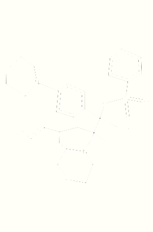 CCCC=CC(CCCCCCCC)CC(CC)(N1CCOCC1)C(C=O)(OS(=O)(=O)c1ccccc1)c1ccc(N2CCOCC2)cc1